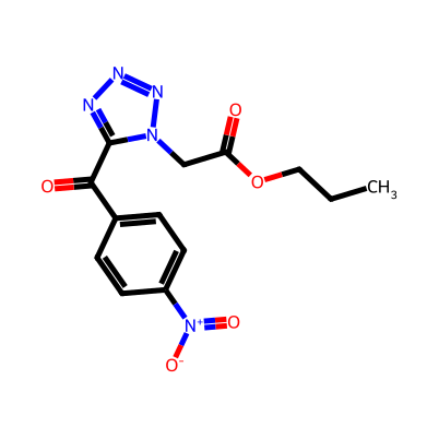 CCCOC(=O)Cn1nnnc1C(=O)c1ccc([N+](=O)[O-])cc1